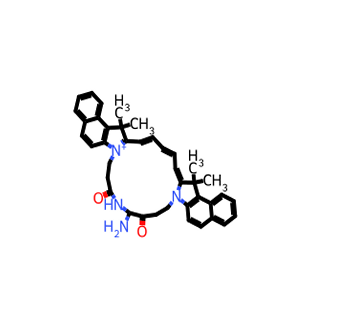 CC1(C)C2=[N+](CCC(=O)NC(N)C(=O)CCN3/C(=C/C=C/C=C/2)C(C)(C)c2c3ccc3ccccc23)c2ccc3ccccc3c21